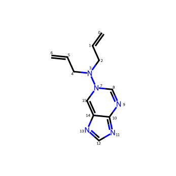 C=CCN(CC=C)n1cnc2ncnc-2c1